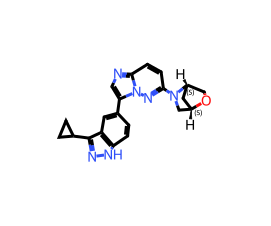 c1cc2[nH]nc(C3CC3)c2cc1-c1cnc2ccc(N3C[C@@H]4C[C@H]3CO4)nn12